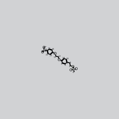 CS(=O)(=O)OCCc1ccc(OCCOc2ccc([N+](=O)[O-])cc2)cc1